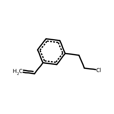 C=Cc1cccc(CCCl)c1